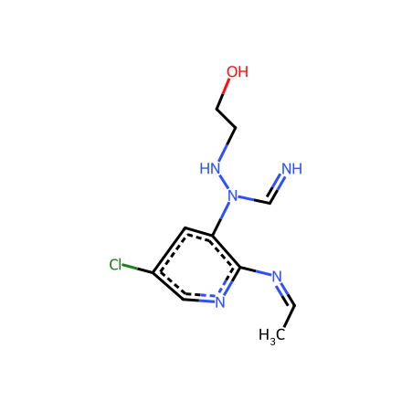 C/C=N\c1ncc(Cl)cc1N(C=N)NCCO